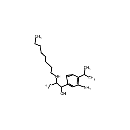 CCCCCCCCNC(C)C(O)c1ccc(C(C)C)c(N)c1